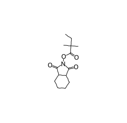 CCC(C)(C)C(=O)ON1C(=O)C2CCCCC2C1=O